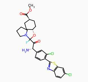 COC(=O)[C@H]1CC[C@H](OC(F)(C(=O)[C@@H](N)c2ccc(-c3nc4ccc(Cl)cc4s3)c(Cl)c2)N2CCCC2)CC1